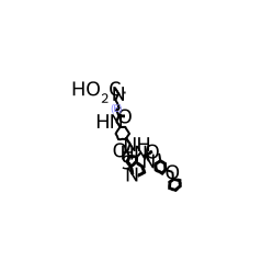 Cc1cc(Oc2ccccc2)ccc1N1C(=O)Nc2c(C(=O)NC3CCC(NC(=O)/C=C/CN(C)C(=O)O)CC3)sc3nccc1c23